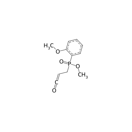 COc1ccccc1P(=O)(CC=C=O)OC